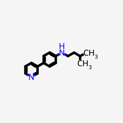 CC(C)CCNc1ccc(-c2cccnc2)cc1